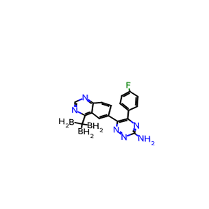 BC(B)(B)c1ncnc2ccc(-c3nnc(N)nc3-c3ccc(F)cc3)cc12